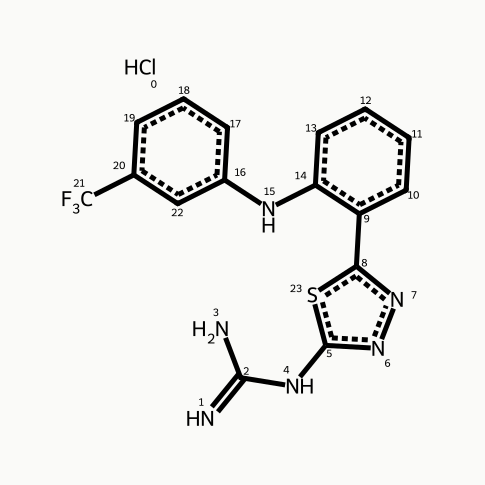 Cl.N=C(N)Nc1nnc(-c2ccccc2Nc2cccc(C(F)(F)F)c2)s1